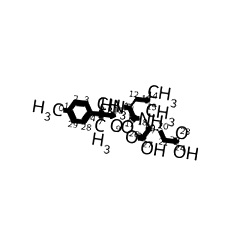 Cc1ccc(C(C)(C)C(=O)N[C@@H](CC(C)C)C(=O)N[C@H](CCC(=O)O)C(=O)O)cc1